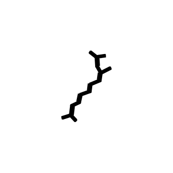 CC(C)=CC=CC=CC=C(C)C=C(C)C